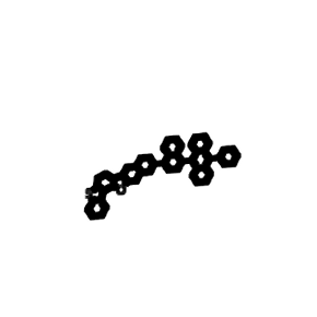 c1ccc(-c2c3ccccc3c(-c3ccc(-c4ccc5cc6c(cc5c4)oc4c6ccc5sc6ccccc6c54)c4ccccc34)c3ccccc23)cc1